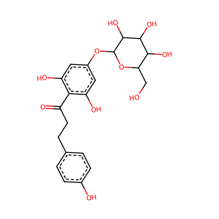 O=C(CCc1ccc(O)cc1)c1c(O)cc(OC2OC(CO)C(O)C(O)C2O)cc1O